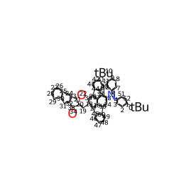 CC(C)(C)c1ccc(N(c2ccc(C(C)(C)C)cc2)c2cc3c4c(c(C=C5C(=O)c6cc7ccccc7cc6C5=O)cc5c4c2-c2ccccc2-5)-c2ccccc2-3)cc1